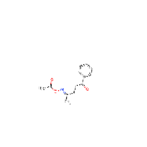 CC(=O)ON=C(C)CCC(=O)c1ccccc1